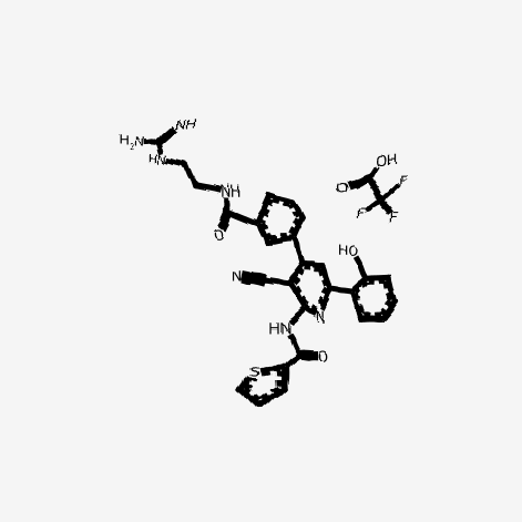 N#Cc1c(-c2cccc(C(=O)NCCNC(=N)N)c2)cc(-c2ccccc2O)nc1NC(=O)c1cccs1.O=C(O)C(F)(F)F